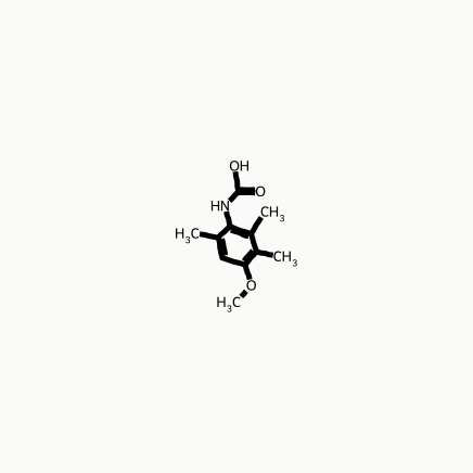 COc1cc(C)c(NC(=O)O)c(C)c1C